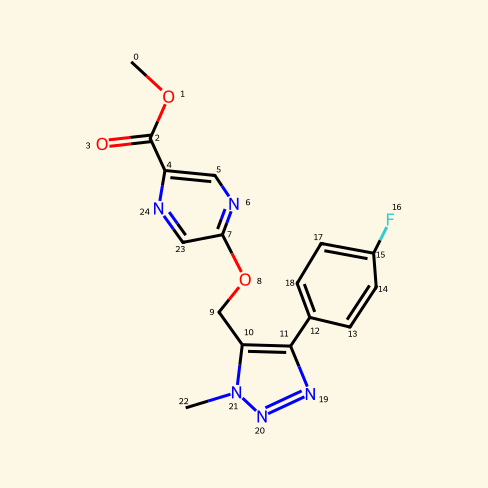 COC(=O)c1cnc(OCc2c(-c3ccc(F)cc3)nnn2C)cn1